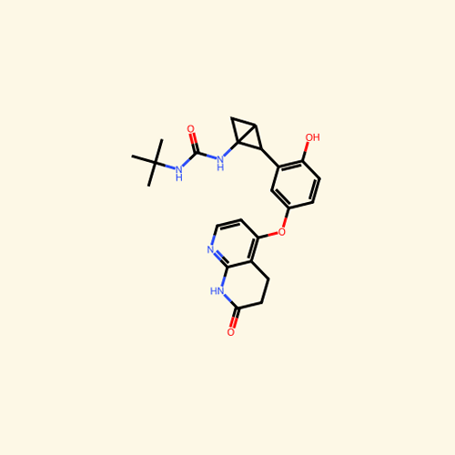 CC(C)(C)NC(=O)NC12CC1C2c1cc(Oc2ccnc3c2CCC(=O)N3)ccc1O